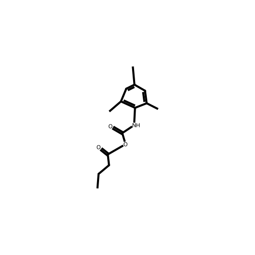 CCCC(=O)OC(=O)Nc1c(C)cc(C)cc1C